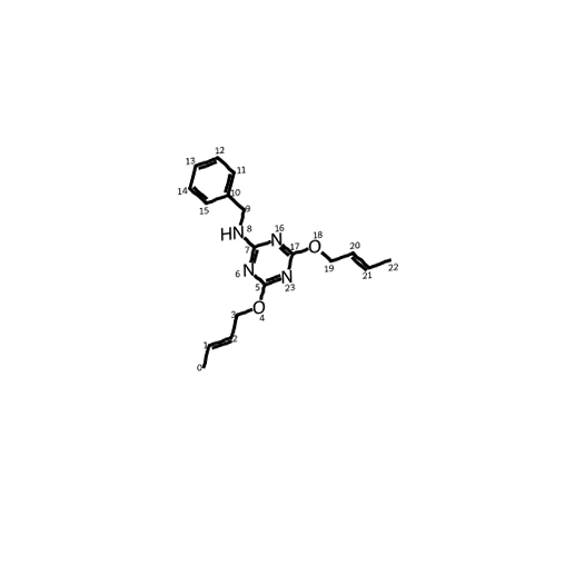 CC=CCOc1nc(NCc2ccccc2)nc(OCC=CC)n1